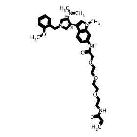 C=CC(=O)NCCOCCOCCOCC(=O)Nc1ccc2c([C@H]3CN(Cc4ccccc4OC)C[C@@H]3N(C)C)cn(C)c2c1